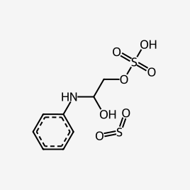 O=S(=O)(O)OCC(O)Nc1ccccc1.O=S=O